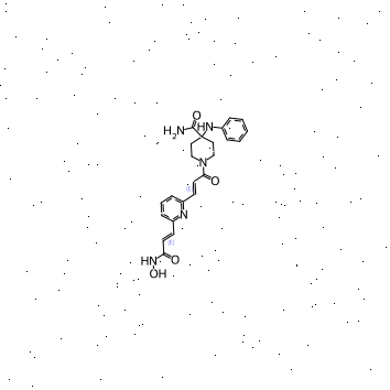 NC(=O)C1(Nc2ccccc2)CCN(C(=O)/C=C/c2cccc(/C=C/C(=O)NO)n2)CC1